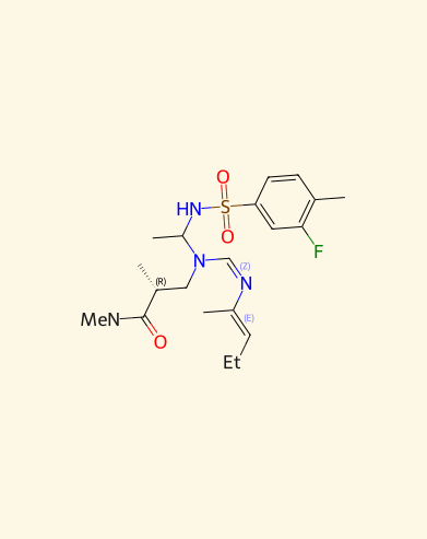 CC/C=C(C)/N=C\N(C[C@@H](C)C(=O)NC)C(C)NS(=O)(=O)c1ccc(C)c(F)c1